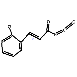 O=C=NC(=O)/C=C/c1ccccc1Cl